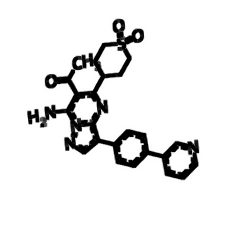 CC(=O)c1c(C2CCS(=O)(=O)CC2)nc2c(-c3ccc(-c4cccnc4)cc3)cnn2c1N